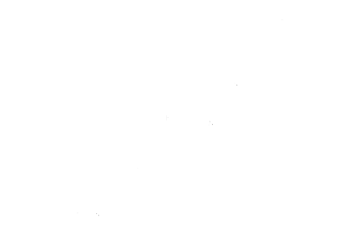 O=c1ccc2cc(OCC(O)CN3CCN(c4ccc(I)c(F)c4)CC3)ccc2[nH]1